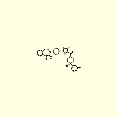 Cc1cccc(C2(O)CCN(C(=O)c3sc(N4CCC(N5CCc6ccccc6NC5=O)CC4)nc3C)CC2)c1